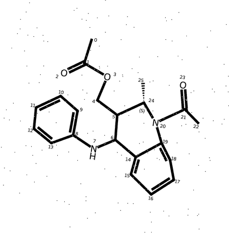 CC(=O)OCC1C(Nc2ccccc2)c2ccccc2N(C(C)=O)[C@H]1C